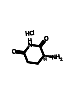 Cl.N[C@H]1CCC(=O)NC1=O